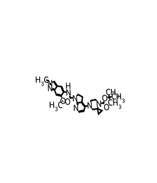 COc1cc2nn(C)cc2cc1NC(=O)N1CCc2c(N3CCN(C(=O)OC(C)(C)C)C4(CC4)C3)ccnc21